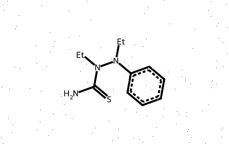 CCN(C(N)=S)N(CC)c1ccccc1